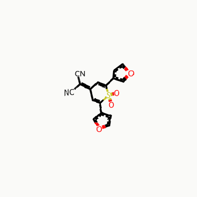 N#CC(C#N)=C1C=C(c2ccoc2)S(=O)(=O)C(c2ccoc2)=C1